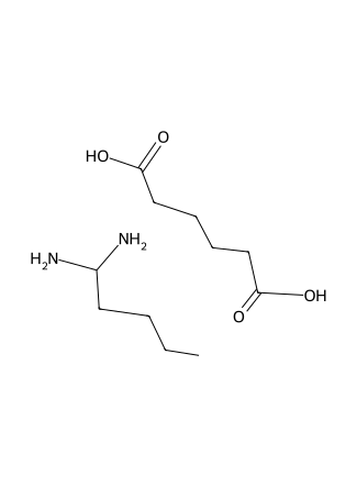 CCCCC(N)N.O=C(O)CCCCC(=O)O